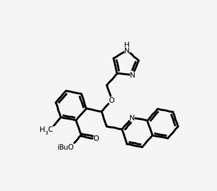 Cc1cccc(C(Cc2ccc3ccccc3n2)OCc2c[nH]cn2)c1C(=O)OCC(C)C